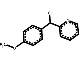 FC(F)(F)Oc1ccc(C(Cl)c2ccccn2)cc1